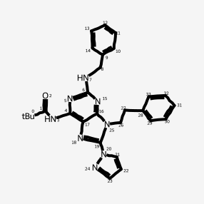 CC(C)(C)C(=O)Nc1nc(NCc2ccccc2)nc2c1nc(-n1cccn1)n2CCc1ccccc1